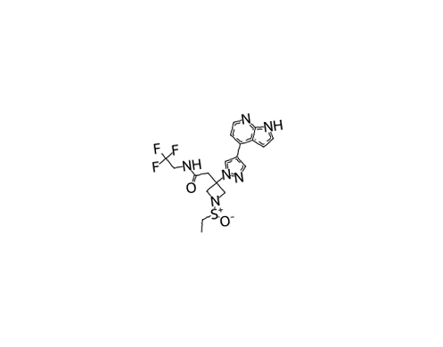 CC[S+]([O-])N1CC(CC(=O)NCC(F)(F)F)(n2cc(-c3ccnc4[nH]ccc34)cn2)C1